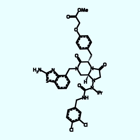 COC(=O)COc1ccc(C[C@H]2C(=O)N(Cc3cccc4sc(N)nc34)C[C@H]3N2C(=O)CN3N(C(=O)NCc2ccc(Cl)c(Cl)c2)C(C)C)cc1